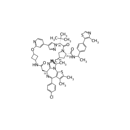 Cc1ncsc1-c1ccc(C(C)NC(=O)[C@@H]2C[C@@H](C)CN2C(=O)[C@H](n2cc(-c3ccnc(OC4CC(NC(=O)C[C@@H]5N=C(c6ccc(Cl)cc6)c6c(sc(C)c6C)-n6c(C)nnc65)C4)c3)cn2)C(C)(C)C)cc1